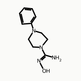 N/C(=N\O)N1CCN(c2ccccc2)CC1